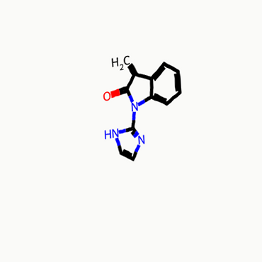 C=C1C(=O)N(c2ncc[nH]2)c2ccccc21